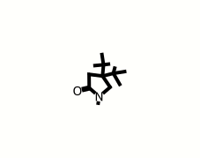 CN1CC(C(C)(C)C)(C(C)(C)C)CC1=O